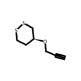 C#CCO[C@H]1CCSSC1